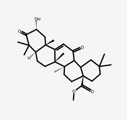 COC(=O)[C@]12CCC(C)(C)CC1C1C(=O)C=C3[C@@]4(C)C[C@@H](O)C(=O)C(C)(C)[C@@H]4CC[C@@]3(C)[C@]1(C)CC2